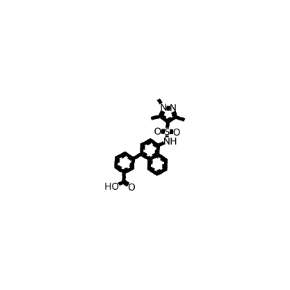 Cc1nn(C)c(C)c1S(=O)(=O)Nc1ccc(-c2cccc(C(=O)O)c2)c2ccccc12